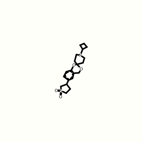 O=S1(=O)CCC(c2ccc3c(c2)COC2(CCN(C4CCC4)CC2)O3)C1